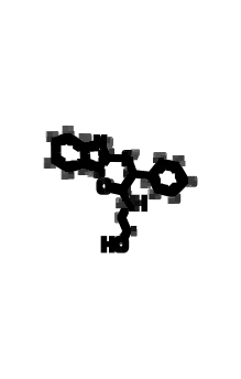 O=C(NCCO)C(Sc1nc2ccccc2s1)c1ccccc1